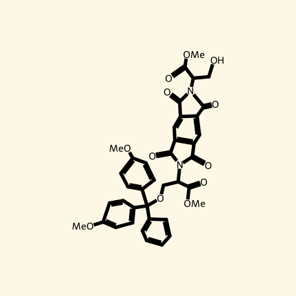 COC(=O)C(CO)n1c(=O)c2cc3c(=O)n(C(COC(c4ccccc4)(c4ccc(OC)cc4)c4ccc(OC)cc4)C(=O)OC)c(=O)c3cc2c1=O